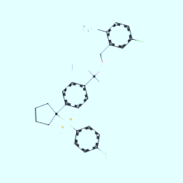 N#Cc1ccc(F)cc1COC(c1ccc(C2(S(=O)(=O)c3ccc(F)cc3)CCCC2)cc1)(C(F)(F)F)C(F)(F)F